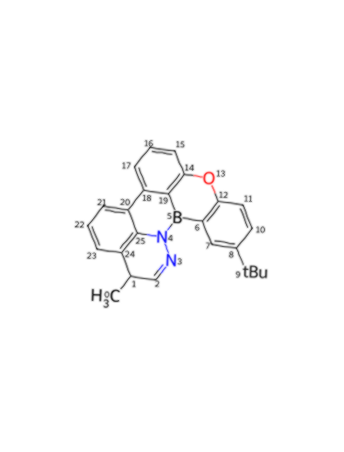 CC1C=NN2B3c4cc(C(C)(C)C)ccc4Oc4cccc(c43)-c3cccc1c32